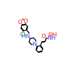 O=C(C=Cc1ccccc1N1CCC(NCc2cc3c(cc2Cl)OCO3)CC1)NO